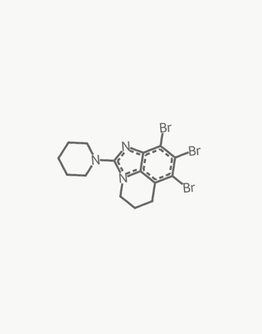 Brc1c(Br)c2c3c(nc(N4CCCCC4)n3CCC2)c1Br